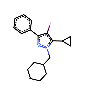 Ic1c(-c2ccccc2)nn(CC2CC[CH]CC2)c1C1CC1